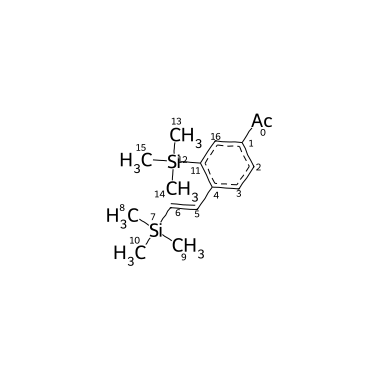 CC(=O)c1ccc(C=C[Si](C)(C)C)c([Si](C)(C)C)c1